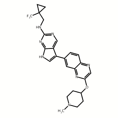 CN1CCC(Oc2cnc3ccc(-c4c[nH]c5nc(NCC6(C(F)(F)F)CC6)ncc45)cc3n2)CC1